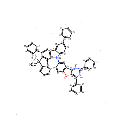 CC1(C)c2ccccc2-c2c1c(-c1ccccc1)cc1c3cc(-c4ccccc4)ccc3n(-c3ccc4oc5c(-c6ccccc6)nc(-c6ccccc6)nc5c4c3)c21